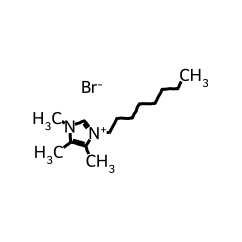 CCCCCCCC[n+]1cn(C)c(C)c1C.[Br-]